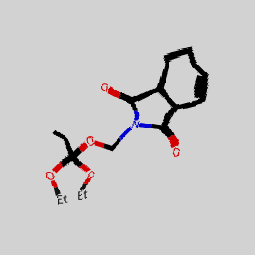 CCOC(C)(OCC)OCN1C(=O)C2C=CCCC2C1=O